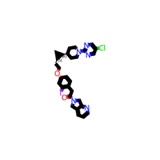 O=C(Cc1ccc(OCC[C@@H]2C[C@@H]2C2CCN(c3ncc(Cl)cn3)CC2)cc1I)N1Cc2cccnc2C1